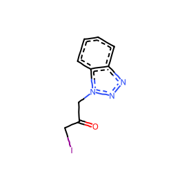 O=C(CI)Cn1nnc2ccccc21